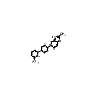 Cc1cccc(-c2ccc(-c3ccc4nc(C)[nH]c4c3)cc2)c1